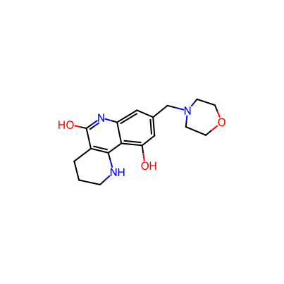 Oc1nc2cc(CN3CCOCC3)cc(O)c2c2c1CCCN2